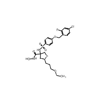 CCOCCCC1CC(NS(=O)(=O)c2ccc(OCc3ccc(Cl)cc3F)cc2)(C(=O)NO)CO1